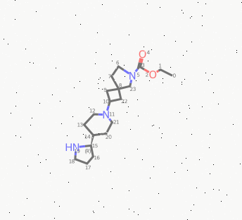 CCOC(=O)N1CCC2(CC(N3CCC([C@H]4CCCN4)CC3)C2)C1